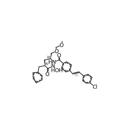 COCOC[C@H](C[C@H](Cc1ccccc1)C(=O)NO)NC(=O)c1ccc(/C=C/c2ccc(Cl)cc2)cc1